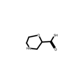 O=C(S)C1CNCCO1